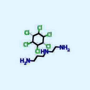 Cl[C@H]1[C@H](Cl)[C@@H](Cl)[C@@H](Cl)[C@H](Cl)[C@H]1Cl.NCCCNCCN